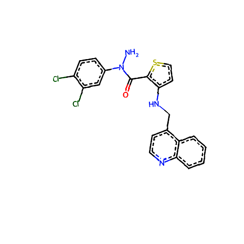 NN(C(=O)c1sccc1NCc1ccnc2ccccc12)c1ccc(Cl)c(Cl)c1